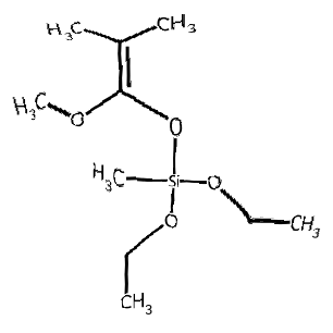 CCO[Si](C)(OCC)OC(OC)=C(C)C